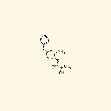 CN(C)C(=O)Sc1ccc(Cc2ccccc2)cc1N